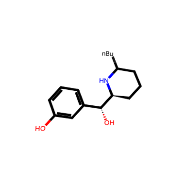 CCCCC1CCC[C@@H]([C@H](O)c2cccc(O)c2)N1